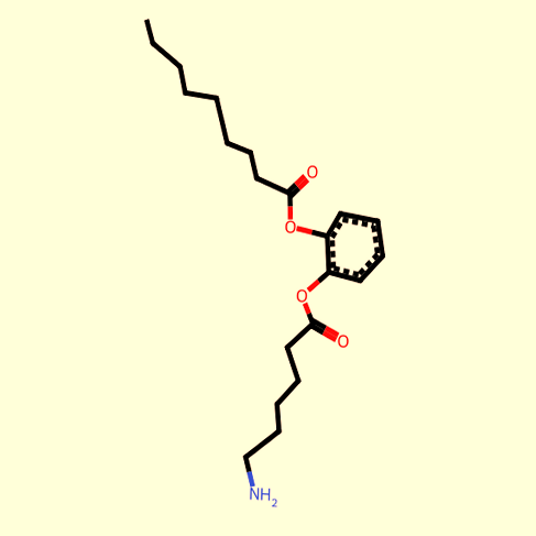 CCCCCCCCC(=O)Oc1ccccc1OC(=O)CCCCCN